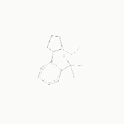 CCN1CCCC1c1ccccc1C(F)(F)F